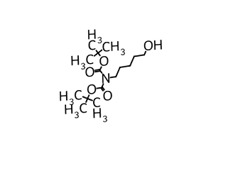 CC(C)(C)OC(=O)N(CCCCCO)C(=O)OC(C)(C)C